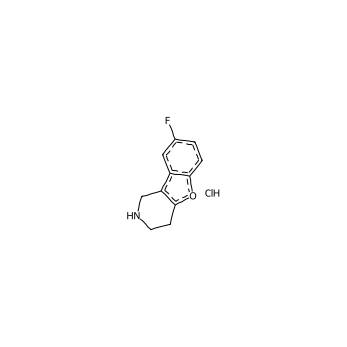 Cl.Fc1ccc2oc3c(c2c1)CNCC3